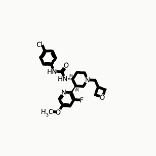 COc1cnc([C@@H]2CN(CC3COC3)CC[C@H]2NC(=O)Nc2ccc(Cl)cc2)c(F)c1